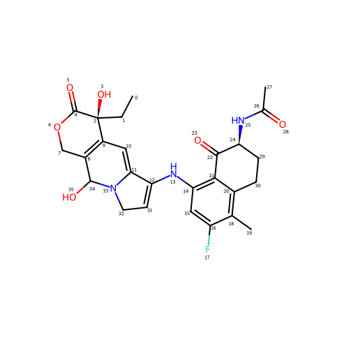 CC[C@@]1(O)C(=O)OCC2=C1C=C1C(Nc3cc(F)c(C)c4c3C(=O)[C@@H](NC(C)=O)CC4)=CCN1C2O